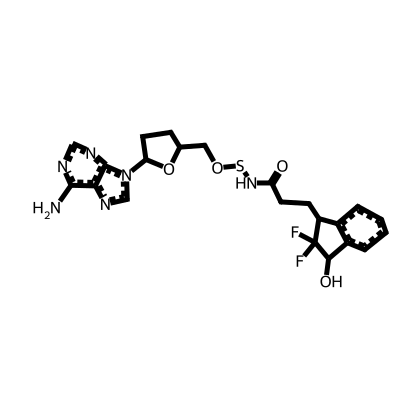 Nc1ncnc2c1ncn2C1CCC(COSNC(=O)CCC2c3ccccc3C(O)C2(F)F)O1